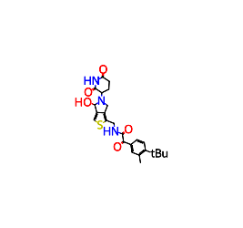 Cc1cc(C(=O)C(=O)NCc2scc3c2CN(C2CCC(=O)NC2=O)C3O)ccc1C(C)(C)C